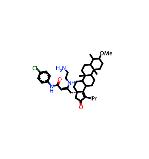 COC1CCC2(C)C(CCC3(C)C4CC[C@]5(C/C(=C/C(=O)Nc6ccc(Cl)cc6)NCCN)CC(=O)C(C(C)C)=C5C4CCC32)C1C